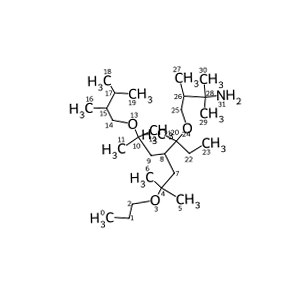 CCCOC(C)(C)CC(CC(C)(C)OCC(C)C(C)C)C(C)(CC)OCC(C)C(C)(C)N